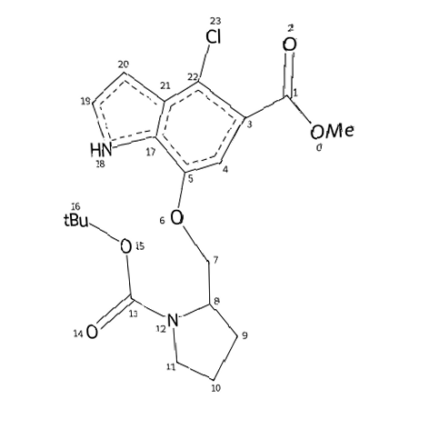 COC(=O)c1cc(OCC2CCCN2C(=O)OC(C)(C)C)c2[nH]ccc2c1Cl